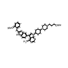 COCCCN1CCN(C2CCC(n3cc(-c4ccc5[nH]c(Cc6ccccc6OC)nc5c4)c4c(N)ncnc43)CC2)CC1